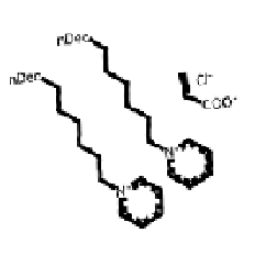 C=CC(=O)[O-].CCCCCCCCCCCCCCCC[n+]1ccccc1.CCCCCCCCCCCCCCCC[n+]1ccccc1.[Cl-]